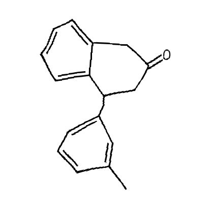 Cc1cccc(C2CC(=O)Cc3ccccc32)c1